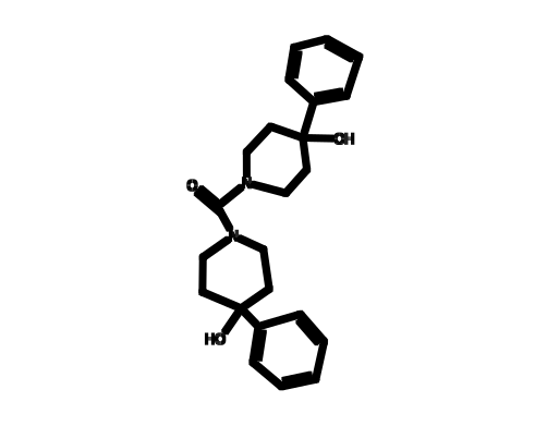 O=C(N1CCC(O)(c2ccccc2)CC1)N1CCC(O)(c2ccccc2)CC1